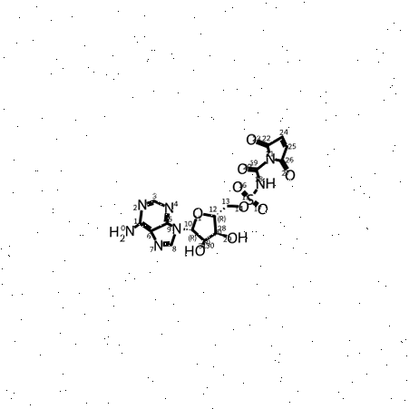 Nc1ncnc2c1ncn2[C@@H]1O[C@H](COS(=O)(=O)NC(=O)N2C(=O)C=CC2=O)[C@@H](O)[C@H]1O